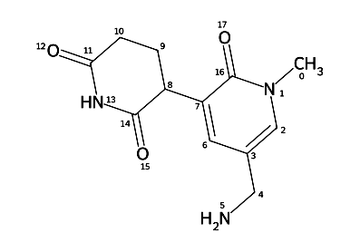 Cn1cc(CN)cc(C2CCC(=O)NC2=O)c1=O